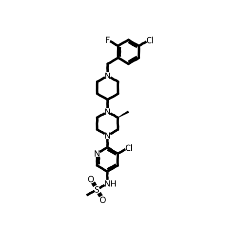 C[C@H]1CN(c2ncc(NS(C)(=O)=O)cc2Cl)CCN1C1CCN(Cc2ccc(Cl)cc2F)CC1